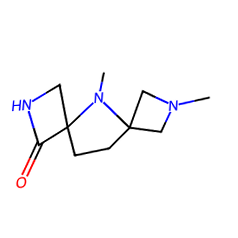 CN1CC2(CCC3(CNC3=O)N2C)C1